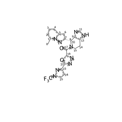 Cc1cccc2cc([C@@H]3c4nc[nH]c4CCN3C(=O)c3nnc(-c4ccn(C(F)(F)F)n4)o3)nn12